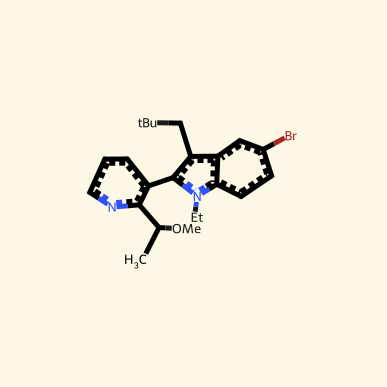 [CH2]C(C)(C)Cc1c(-c2cccnc2C(C)OC)n(CC)c2ccc(Br)cc12